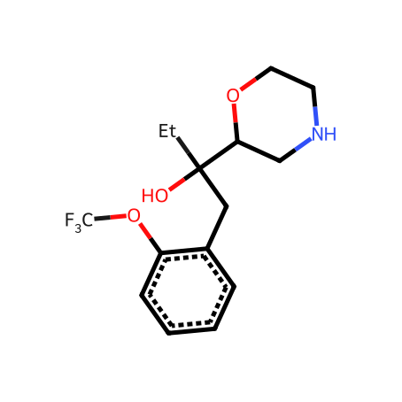 CCC(O)(Cc1ccccc1OC(F)(F)F)C1CNCCO1